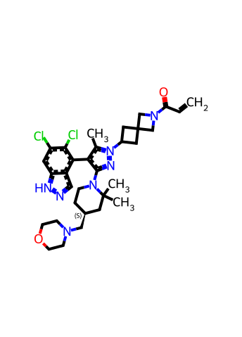 C=CC(=O)N1CC2(CC(n3nc(N4CC[C@H](CN5CCOCC5)CC4(C)C)c(-c4c(Cl)c(Cl)cc5[nH]ncc45)c3C)C2)C1